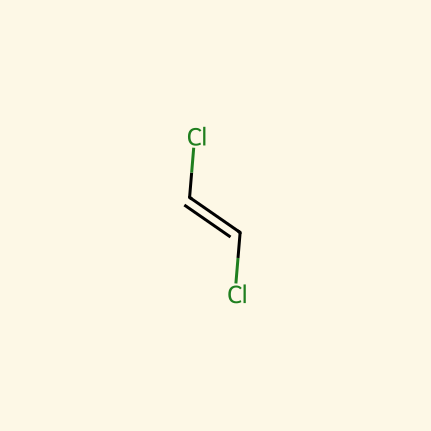 ClC=CCl